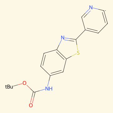 CC(C)(C)OC(=O)Nc1ccc2nc(-c3cc[c]nc3)sc2c1